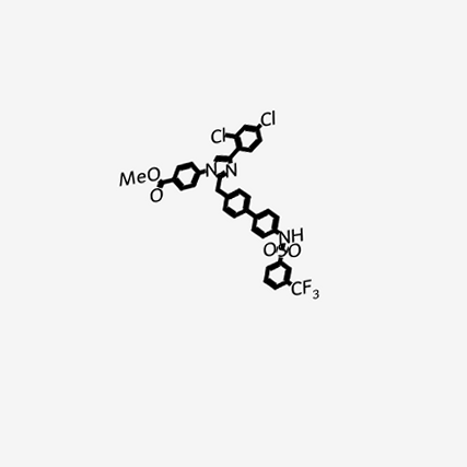 COC(=O)c1ccc(-n2cc(-c3ccc(Cl)cc3Cl)nc2Cc2ccc(-c3ccc(NS(=O)(=O)c4cccc(C(F)(F)F)c4)cc3)cc2)cc1